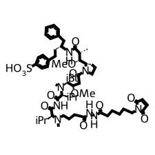 CC[C@H](C)[C@@H]([C@@H](CC(=O)N1CCC[C@H]1[C@H](OC)[C@@H](C)C(=O)N[C@H](CCc1ccc(S(=O)(=O)O)cc1)Cc1ccccc1)OC)N(C)[C@H](C(=O)NC(=O)[C@H](C(C)C)N(C)CCCC(=O)NNC(=O)CCCCCN1C(=O)C=CC1=O)C(C)C